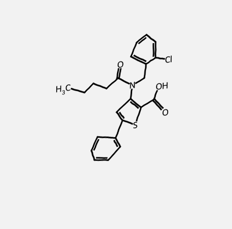 CCCCC(=O)N(Cc1ccccc1Cl)c1cc(-c2ccccc2)sc1C(=O)O